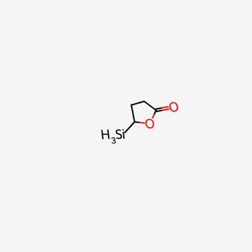 O=C1CCC([SiH3])O1